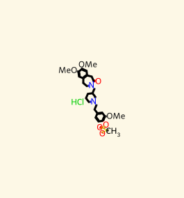 COc1cc2c(cc1OC)CC(=O)N(CC1CCCN(CCc3ccc(OS(C)(=O)=O)c(OC)c3)C1)CC2.Cl